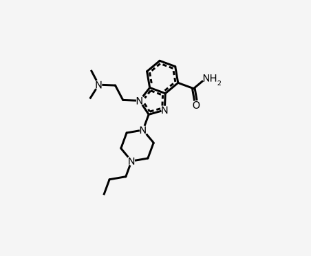 CCCN1CCN(c2nc3c(C(N)=O)cccc3n2CCN(C)C)CC1